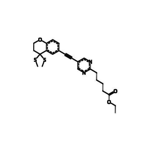 CCOC(=O)CCCCc1ncc(C#Cc2ccc3c(c2)C(SC)(SC)CCO3)cn1